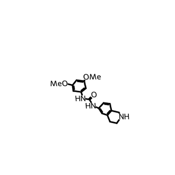 COc1cc(NC(=O)Nc2ccc3c(c2)CCNC3)cc(OC)c1